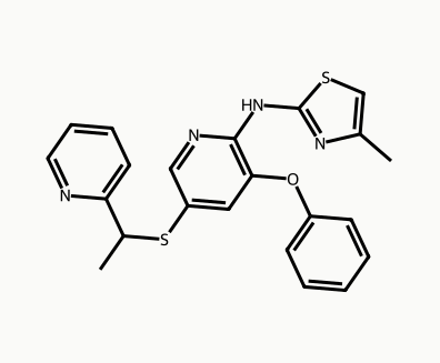 Cc1csc(Nc2ncc(SC(C)c3ccccn3)cc2Oc2ccccc2)n1